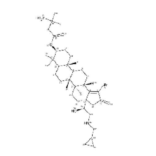 CC(C)C1=C2[C@H]3CCC4[C@@]5(C)CC[C@H](OC(=O)CC(C)(C)C(=O)O)C(C)(C)C5CC[C@@]4(C)[C@]3(C)CC[C@@]2([C@H](O)CNCC2CC2)CC1=O